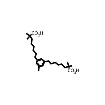 Cc1cc(CCCCCCC(C)(C)C(=O)O)cc(CCCCCCC(C)(C)C(=O)O)c1